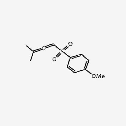 COc1ccc(S(=O)(=O)C=C=C(C)C)cc1